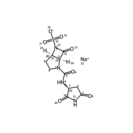 O=C1C[C@H](NC(=O)N2CC[C@@H]3[C@H]2C(=O)N3S(=O)(=O)[O-])C(=O)N1.[Na+]